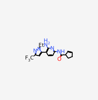 CCn1nc(C(F)(F)F)cc1-c1ccc(NC(=O)C2C=CCC2)nc1N